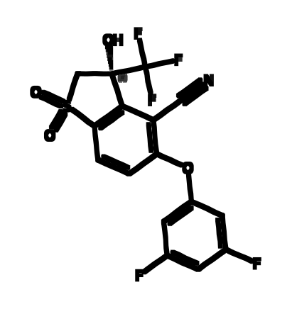 N#Cc1c(Oc2cc(F)cc(F)c2)ccc2c1[C@](O)(C(F)(F)F)CS2(=O)=O